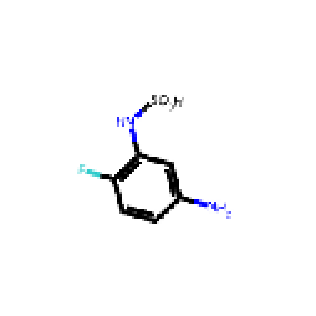 Nc1ccc(F)c(NS(=O)(=O)O)c1